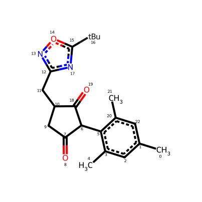 Cc1cc(C)c(C2C(=O)CC(Cc3noc(C(C)(C)C)n3)C2=O)c(C)c1